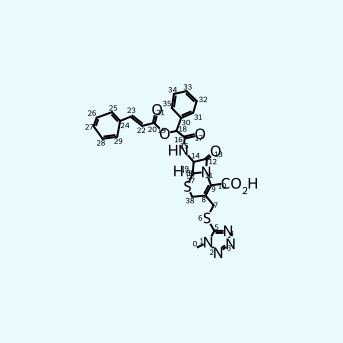 Cn1nnnc1SCC1=C(C(=O)O)N2C(=O)C(NC(=O)C(OC(=O)C=Cc3ccccc3)c3ccccc3)[C@@H]2SC1